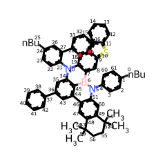 CCCCc1ccc(N2B3c4cc5sc6ccccc6c5cc4N(c4ccc(CCCC)cc4-c4ccccc4)c4cc(-c5ccccc5)cc(c43)-c3cc4c(cc32)C(C)(C)CCC4(C)C)cc1